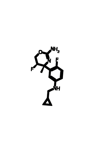 C[C@]1(c2cc(NCC3CC3)ccc2F)N=C(N)OC[C@@H]1F